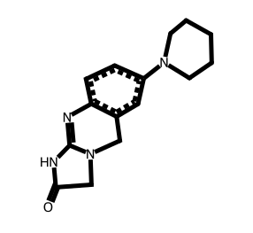 O=C1CN2Cc3cc(N4CCCCC4)ccc3N=C2N1